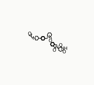 O=C1CCC(N2Cc3cc(OCC4CCCCN4Cc4ccc(C5CCN(CC6COC6)CC5)cc4)ccc3C2=O)C(=O)N1